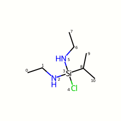 CCN[Si](Cl)(NCC)C(C)C